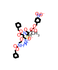 CC(OC(=O)OCc1ccc([N+](=O)[O-])cc1)[C@H]1C(=O)N2C(C(=O)OCc3ccccc3)=C(OCCNC(=O)OCc3ccccc3)C(=[N+]=[N-])[S+]([O-])[C@H]12